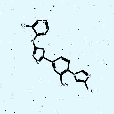 COc1nc(-c2nnc(Nc3ccccc3C(F)(F)F)o2)ccc1-n1cnc(C)c1